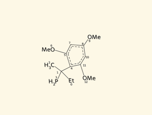 CCC(C)(P)c1c(OC)cc(OC)cc1OC